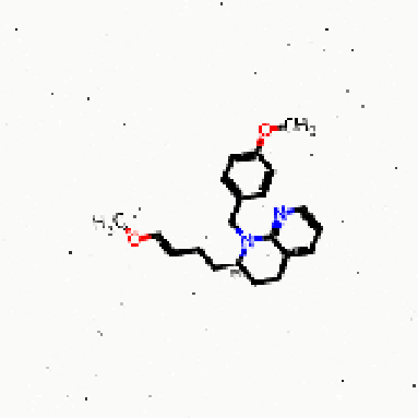 COC=CCC[C@@H]1CCc2cccnc2N1Cc1ccc(OC)cc1